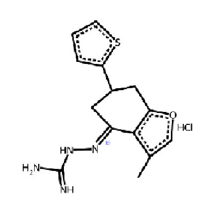 Cc1coc2c1/C(=N/NC(=N)N)CC(c1cccs1)C2.Cl